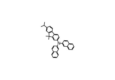 CC(C)c1ccc2c(c1)C(C)(C)c1cc(N(c3ccc4ccccc4c3)c3ccc4ccccc4c3)ccc1-2